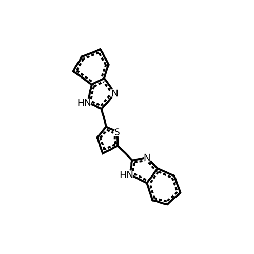 c1ccc2[nH]c(-c3ccc(-c4nc5ccccc5[nH]4)s3)nc2c1